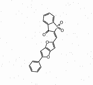 O=C1/C(=C\c2cc3oc(-c4ccccc4)cc3o2)S(=O)(=O)c2ccccc21